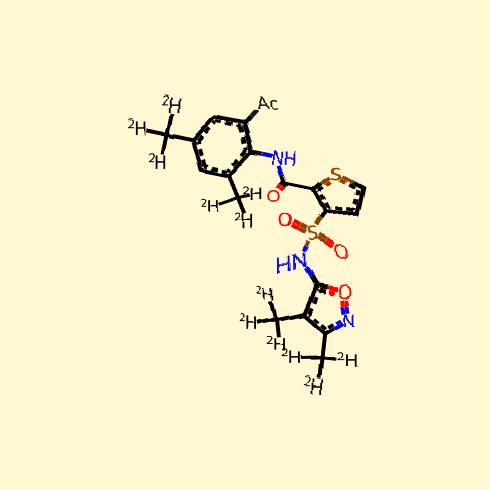 [2H]C([2H])([2H])c1cc(C(C)=O)c(NC(=O)c2sccc2S(=O)(=O)Nc2onc(C([2H])([2H])[2H])c2C([2H])([2H])[2H])c(C([2H])([2H])[2H])c1